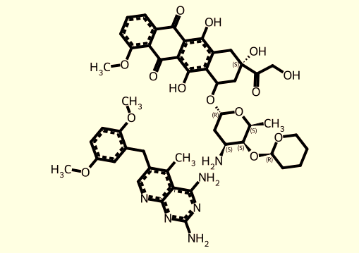 COc1ccc(OC)c(Cc2cnc3nc(N)nc(N)c3c2C)c1.COc1cccc2c1C(=O)c1c(O)c3c(c(O)c1C2=O)C[C@@](O)(C(=O)CO)CC3O[C@H]1C[C@H](N)[C@H](O[C@@H]2CCCCO2)[C@H](C)O1